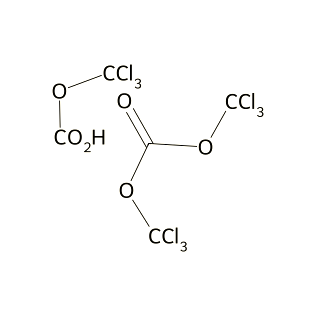 O=C(O)OC(Cl)(Cl)Cl.O=C(OC(Cl)(Cl)Cl)OC(Cl)(Cl)Cl